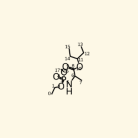 CCOP(=O)(NC(C)C(=O)OC(CC)CC)OC